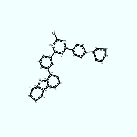 Clc1nc(-c2ccc(-c3ccccc3)cc2)nc(-c2cccc(-c3cccc4c3oc3ccccc34)c2)n1